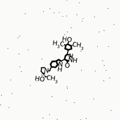 Cc1cc(-c2cc(-c3cc4ccc(CN5CCC[C@H]5C(C)O)cc4[nH]3)c(=O)[nH]n2)cc(C)c1O